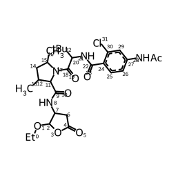 CCOC1OC(=O)CC1NC(=O)C1C(C)CC(C)N1C(=O)C(NC(=O)c1ccc(NC(C)=O)cc1Cl)C(C)(C)C